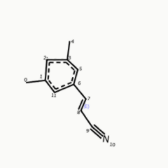 Cc1[c]c(C)cc(/C=C/C#N)c1